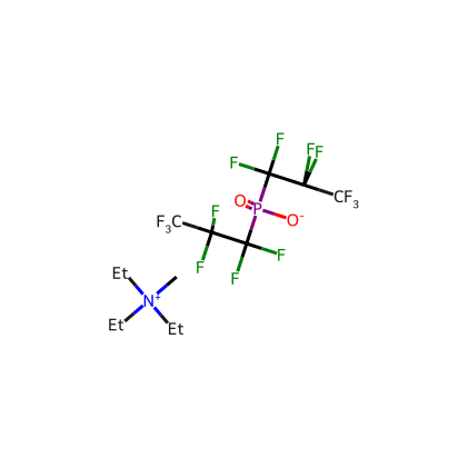 CC[N+](C)(CC)CC.O=P([O-])(C(F)(F)C(F)(F)C(F)(F)F)C(F)(F)C(F)(F)C(F)(F)F